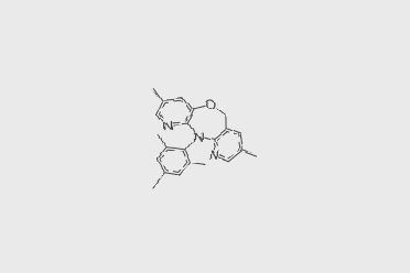 Cc1cc(C)c(N2c3ncc(C)cc3COc3cc(C)cnc32)c(C)c1